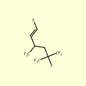 F/C=C/C(CC(F)(C(F)(F)F)C(F)(F)F)C(F)(F)F